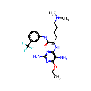 CCOc1nc(N)nc(N[C@@H](CCCCN(C)C)C(=O)Nc2cccc(C(F)(F)F)c2)c1N